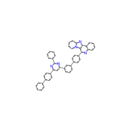 c1ccc(-c2ccc(-c3cc(-c4cccc(-c5ccc(-c6nc7ccccc7c7nc8ccccn8c67)cc5)c4)nc(-c4ccccc4)n3)cc2)cc1